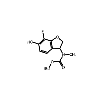 CN(C(=O)OC(C)(C)C)C1COc2c1ccc(O)c2F